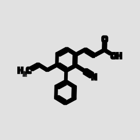 C=CCc1ccc(C=CC(=O)O)c(C#N)c1-c1ccccc1